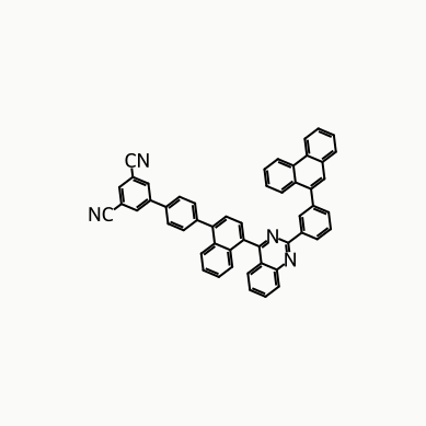 N#Cc1cc(C#N)cc(-c2ccc(-c3ccc(-c4nc(-c5cccc(-c6cc7ccccc7c7ccccc67)c5)nc5ccccc45)c4ccccc34)cc2)c1